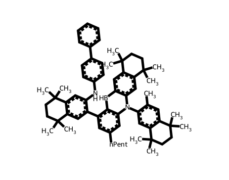 CCCCCc1cc(-c2cc3c(cc2Nc2ccc(-c4ccccc4)cc2)C(C)(C)CCC3(C)C)c2c(c1)N(c1cc3c(cc1C)C(C)(C)CCC3(C)C)c1cc3c(cc1B2)C(C)(C)CCC3(C)C